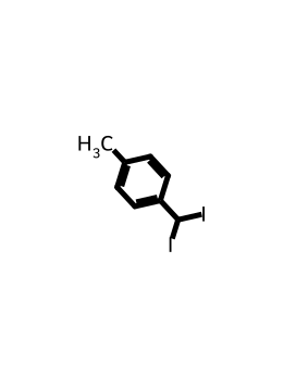 Cc1ccc(C(I)I)cc1